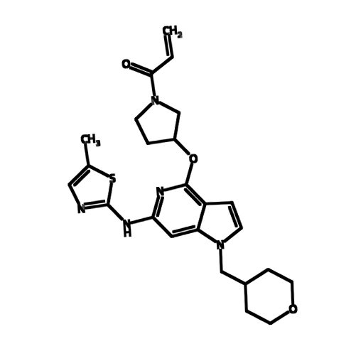 C=CC(=O)N1CCC(Oc2nc(Nc3ncc(C)s3)cc3c2ccn3CC2CCOCC2)C1